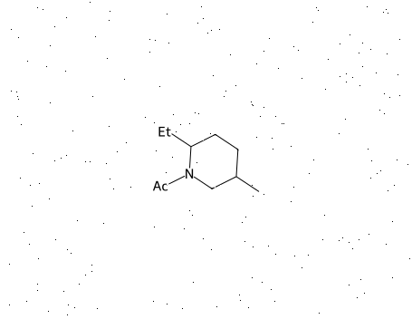 CCC1CCC(C)CN1C(C)=O